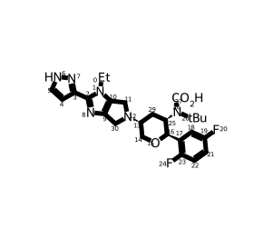 CCn1c(-c2cc[nH]n2)nc2c1CN([C@H]1CO[C@H](c3cc(F)ccc3F)[C@@H](N(C(=O)O)C(C)(C)C)C1)C2